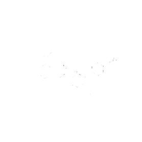 COc1ccc(C(=O)N[C@@H](CC(=O)O)c2ccc(C)cc2)nc1-c1ccc(C#N)cc1